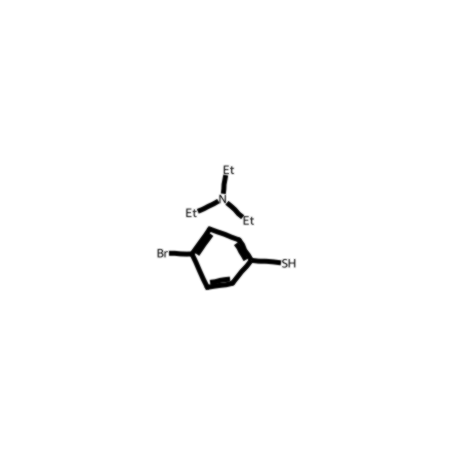 CCN(CC)CC.Sc1ccc(Br)cc1